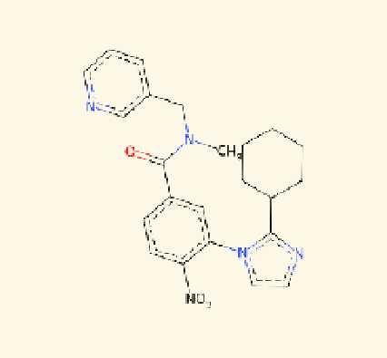 CN(Cc1cccnc1)C(=O)c1ccc([N+](=O)[O-])c(-n2ccnc2C2CCCCC2)c1